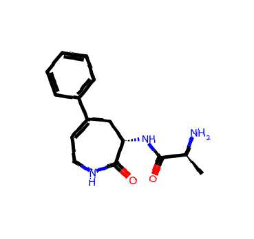 C[C@H](N)C(=O)N[C@H]1CC(c2ccccc2)=CCNC1=O